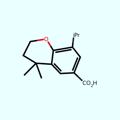 CC(C)c1cc(C(=O)O)cc2c1OCCC2(C)C